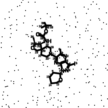 Cc1nc2c(I)nn(C3CCCCO3)c2nc1N1CCC2(CC1)CO[C@@H](C)[C@H]2NC(=O)OC(C)(C)C